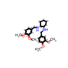 COc1ccc(CN[C@@H]2CCCC[C@H]2NCc2ccc(OC)c(OC)c2)cc1OC